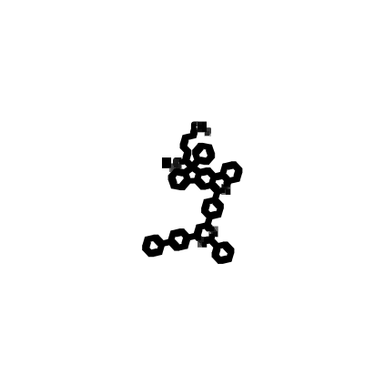 C=C/C=C\C=C(/C)C1(c2ccccc2)c2ccccc2-c2cc3c(-c4ccc(-c5cc(-c6ccc(-c7ccccc7)cc6)nc(-c6ccccc6)n5)cc4)nc4ccccc4c3cc21